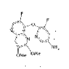 COc1cc2ncc(F)c(Oc3ncc(N)cc3F)c2nc1OC